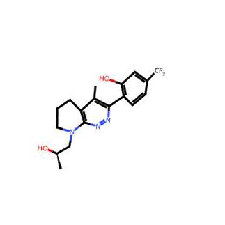 Cc1c(-c2ccc(C(F)(F)F)cc2O)nnc2c1CCCN2C[C@@H](C)O